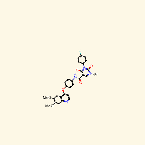 COc1cc2nccc(Oc3ccc(NC(=O)c4cn(C(C)C)c(=O)n(-c5ccc(F)cc5)c4=O)cc3)c2cc1OC